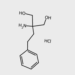 Cl.NC(CO)(CO)CCc1ccccc1